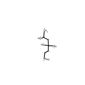 CCCCCCCC(O)(O)CC(C)O